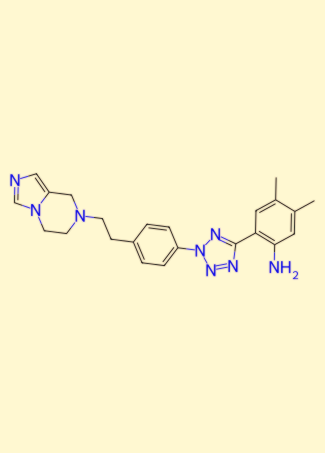 Cc1cc(N)c(-c2nnn(-c3ccc(CCN4CCn5cncc5C4)cc3)n2)cc1C